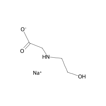 O=C([O-])CNCCO.[Na+]